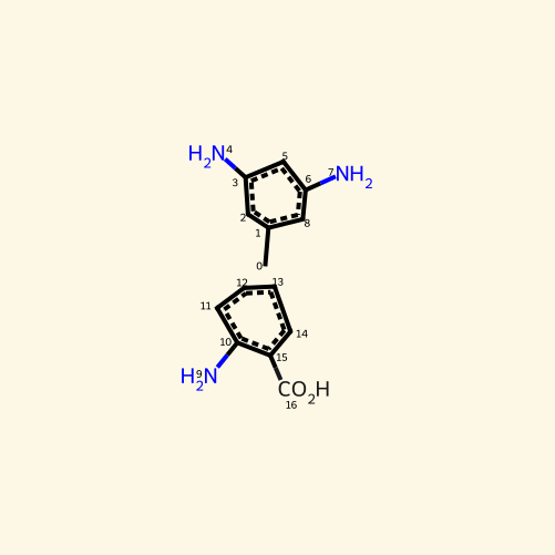 Cc1cc(N)cc(N)c1.Nc1ccccc1C(=O)O